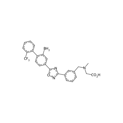 Bc1cc(-c2nc(-c3cccc(CN(C)CC(=O)O)c3)no2)ccc1-c1ccccc1C(F)(F)F